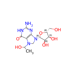 CC(O)N1CN([C@@H]2O[C@H](CO)[C@@H](O)[C@H]2O)c2nc(N)[nH]c(=O)c21